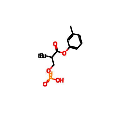 Cc1cccc(OC(=O)C(CO[PH](=O)O)C(C)(C)C)c1